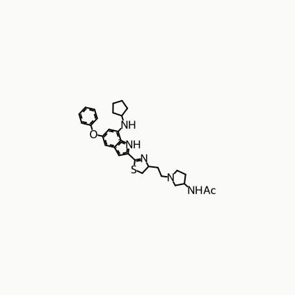 CC(=O)NC1CCN(CCC2CSC(c3cc4cc(Oc5ccccc5)cc(NC5CCCC5)c4[nH]3)=N2)C1